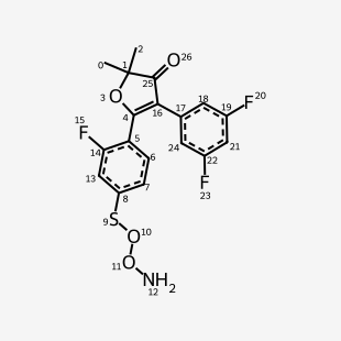 CC1(C)OC(c2ccc(SOON)cc2F)=C(c2cc(F)cc(F)c2)C1=O